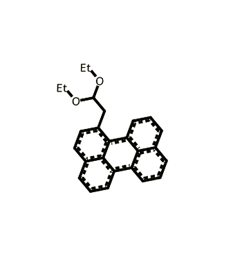 CCOC(Cc1ccc2cccc3c4cccc5cccc(c1c23)c54)OCC